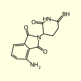 B=C1CCC(N2C(=O)c3cccc(N)c3C2=O)C(=O)N1